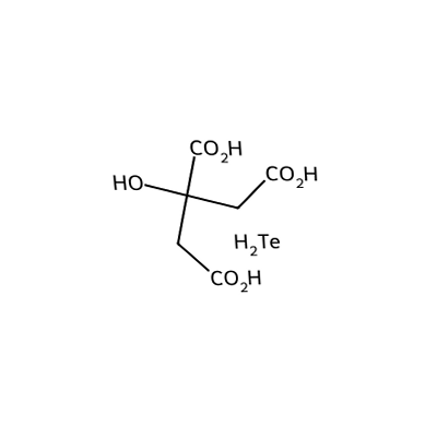 O=C(O)CC(O)(CC(=O)O)C(=O)O.[TeH2]